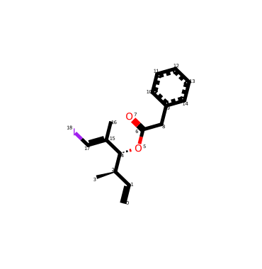 C=C[C@@H](C)[C@@H](OC(=O)Cc1ccccc1)/C(C)=C/I